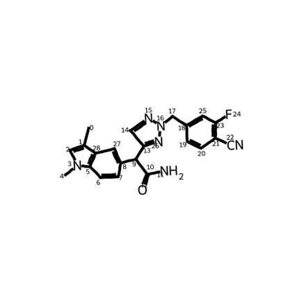 Cc1cn(C)c2ccc(C(C(N)=O)c3cnn(Cc4ccc(C#N)c(F)c4)n3)cc12